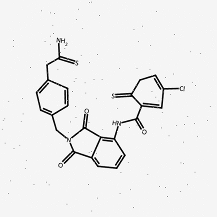 NC(=S)Cc1ccc(CN2C(=O)c3cccc(NC(=O)C4=CC(Cl)=CCC4=S)c3C2=O)cc1